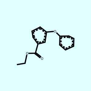 CCOC(=O)c1cc[c]c(Oc2ccccc2)c1